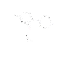 CCOc1cc(Cl)ccc1N1CCNCC1